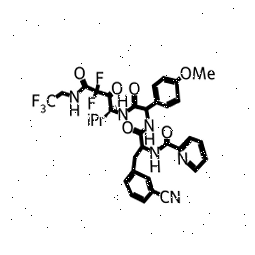 COc1ccc(C(NC(=O)C(Cc2cccc(C#N)c2)NC(=O)c2ccccn2)C(=O)N[C@H](C(=O)C(F)(F)C(=O)NCC(F)(F)F)C(C)C)cc1